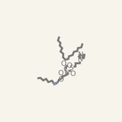 CCCCCC/C=C\COC(=O)CN(CC(=O)OC(CCCCCCCC)CCCCCCCC)C(=O)SCCCn1ccnc1